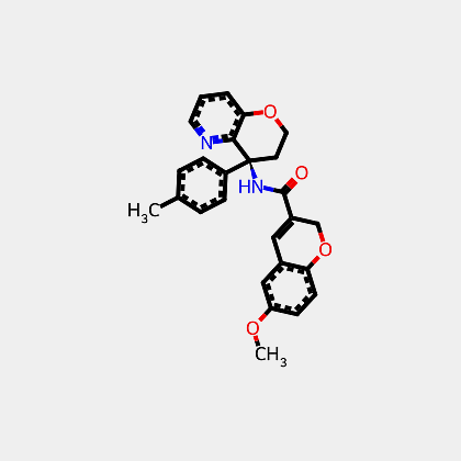 COc1ccc2c(c1)C=C(C(=O)N[C@]1(c3ccc(C)cc3)CCOc3cccnc31)CO2